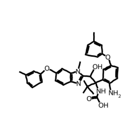 Cc1cccc(Oc2ccc(N)c(C(NC(=O)O)(C(O)c3nc4ccc(Oc5cccc(C)c5)cc4n3C)C(C)(C)C)c2)c1